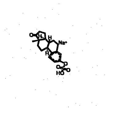 C[C@]12CC[C@@H]3c4ccc(OS(=O)(=O)O)cc4CC[C@H]3[C@@H]1CCC2=O.[Na+]